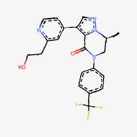 C[C@H]1CN(c2ccc(C(F)(F)F)cc2)C(=O)c2c(-c3ccnc(CCO)c3)cnn21